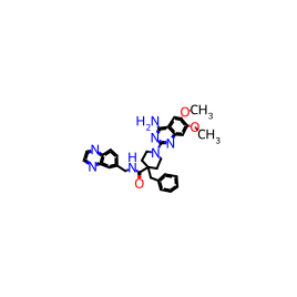 COc1cc2nc(N3CCC(Cc4ccccc4)(C(=O)NCc4ccc5nccnc5c4)CC3)nc(N)c2cc1OC